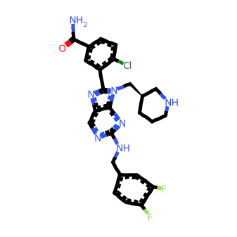 NC(=O)c1ccc(Cl)c(-c2nc3cnc(NCc4ccc(F)c(F)c4)nc3n2C[C@@H]2CCCNC2)c1